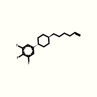 C=CCCCC[C@H]1CC[C@H](c2cc(F)c(F)c(F)c2)CC1